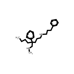 CCCCC(CCCNCCCc1ccccc1)(CNC)c1ccccc1